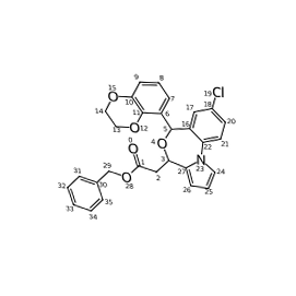 O=C(CC1OC(c2cccc3c2OCCO3)c2cc(Cl)ccc2-n2cccc21)OCc1ccccc1